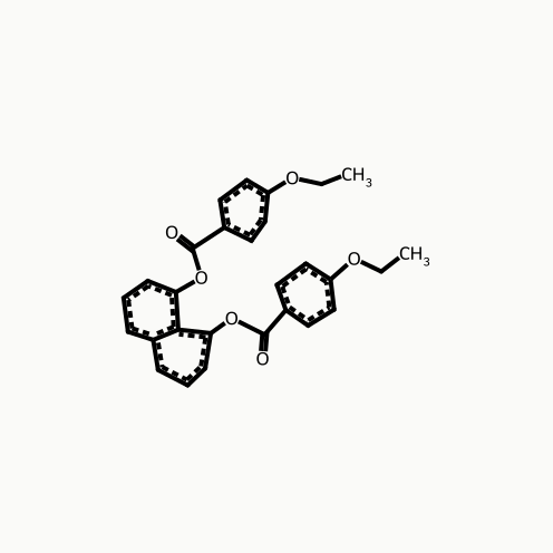 CCOc1ccc(C(=O)Oc2cccc3cccc(OC(=O)c4ccc(OCC)cc4)c23)cc1